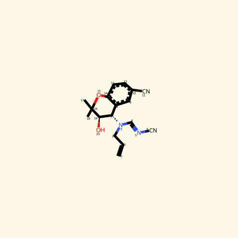 C=CCN(C=NC#N)[C@H]1c2cc(C#N)ccc2OC(C)(C)[C@@H]1O